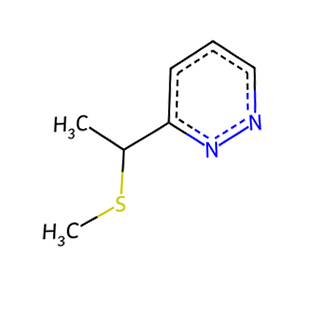 CSC(C)c1cccnn1